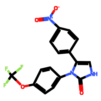 O=c1[nH]cc(-c2ccc([N+](=O)[O-])cc2)n1-c1ccc(OC(F)(F)F)cc1